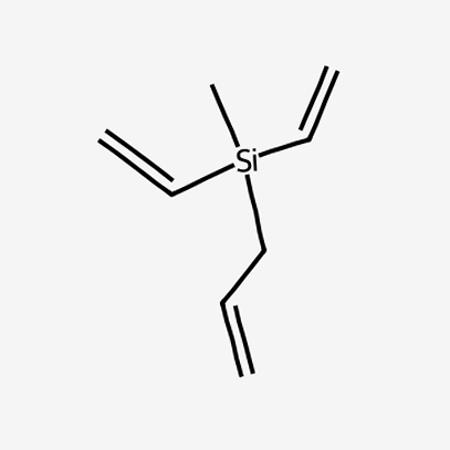 C=CC[Si](C)(C=C)C=C